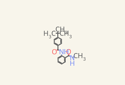 CNC(=O)c1ccccc1NC(=O)c1ccc(C(C)(C)C)cc1